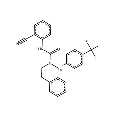 N#Cc1ccccc1NC(=O)N1CCc2ccccc2[C@H]1c1ccc(C(F)(F)F)cc1